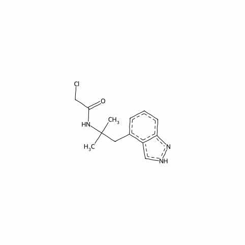 CC(C)(Cc1cccc2n[nH]cc12)NC(=O)CCl